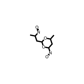 CC(CC1OC(C)CC(N=O)O1)N=O